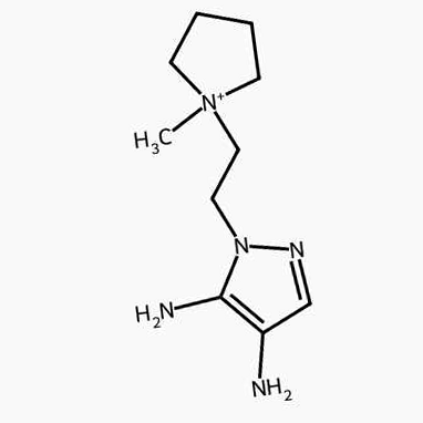 C[N+]1(CCn2ncc(N)c2N)CCCC1